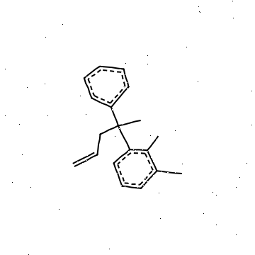 C=CCC(C)(c1ccccc1)c1cccc(C)c1C